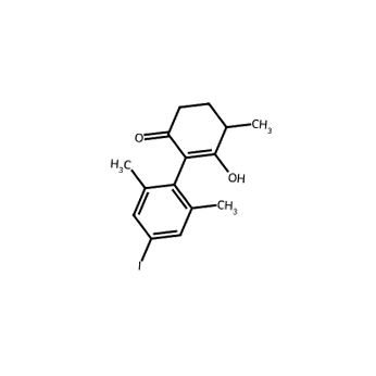 Cc1cc(I)cc(C)c1C1=C(O)C(C)CCC1=O